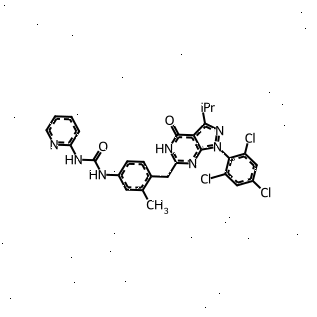 Cc1cc(NC(=O)Nc2ccccn2)ccc1Cc1nc2c(c(C(C)C)nn2-c2c(Cl)cc(Cl)cc2Cl)c(=O)[nH]1